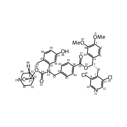 COc1ccc([C@H](Cc2c(Cl)cncc2Cl)OC(=O)c2ccc(CN(C(=O)O[C@H]3CN4CCC3CC4)c3cc(O)ccc3C)cc2)cc1OC